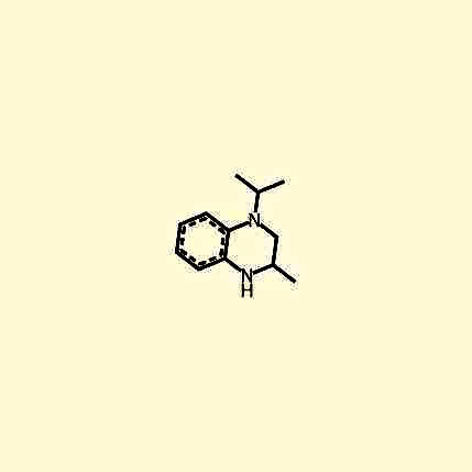 CC1CN(C(C)C)c2ccccc2N1